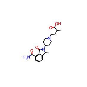 CC(CCN1CCC(N2C(=O)c3c(C(N)=O)cccc3C2C)CC1)C(=O)O